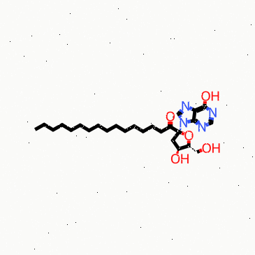 CCCCCCCCCCCCCCCC(=O)[C@]1(n2cnc3c(O)ncnc32)C[C@H](O)[C@@H](CO)O1